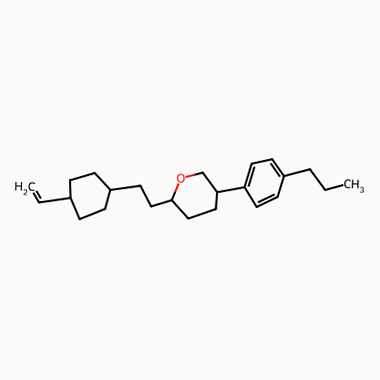 C=CC1CCC(CCC2CCC(c3ccc(CCC)cc3)CO2)CC1